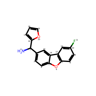 NC(c1ccc2oc3ccc(F)cc3c2c1)c1ccco1